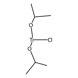 CC(C)[O][Ti]([Cl])[O]C(C)C